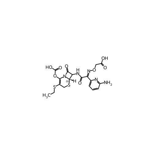 CCSC1=C(OC(=O)O)N2C(=O)C(NC(=O)C(=NOCC(=O)O)c3cccc(N)n3)[C@@H]2SC1